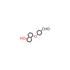 O=Cc1ccc(Oc2cccc3c(O)cccc23)cc1